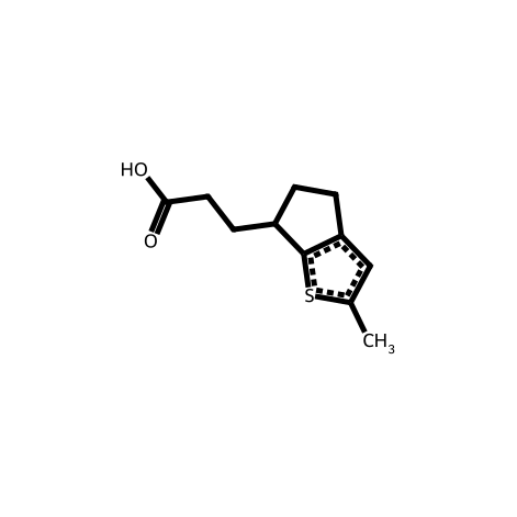 Cc1cc2c(s1)C(CCC(=O)O)CC2